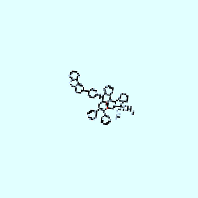 CC1(C)c2ccccc2-c2c(-c3ccccc3N(c3ccc(-c4ccc5sc6ccccc6c5c4)cc3)c3ccc(-c4ccccc4)c(-c4ccccc4)c3)cccc21